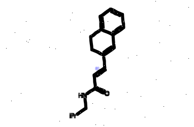 CC(C)CNC(=O)/C=C/C1=Cc2ccccc2CC1